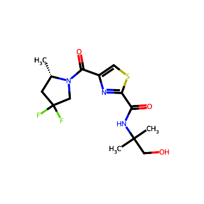 C[C@H]1CC(F)(F)CN1C(=O)c1csc(C(=O)NC(C)(C)CO)n1